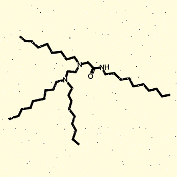 CCCCCCCCCCNC(=O)CN(CCCCCCCCC)CCN(CCCCCCCCC)CCCCCCCCC